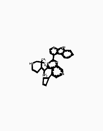 CC1(C)CNCCC1C(N)c1nc(-c2ccnc3[nH]c4ccccc4c23)nc2cncc(C3CCC3)c12